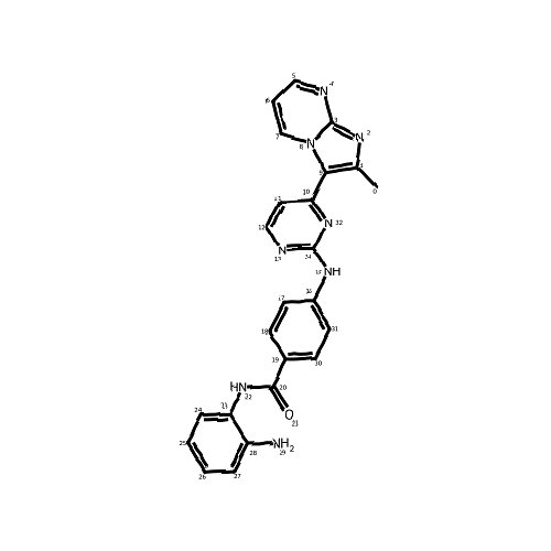 Cc1nc2ncccn2c1-c1ccnc(Nc2ccc(C(=O)Nc3ccccc3N)cc2)n1